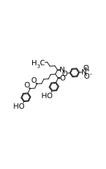 CCCCC(=NOc1ccc([N+](=O)[O-])cc1)C(CCCCC(=O)CC(=O)c1ccc(O)cc1)C(=O)c1ccc(O)cc1